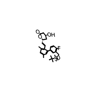 Cc1cc(C)c(C=C[C@H]2C[C@H](O)CC(=O)O2)c(-c2ccc(F)c(CO[Si](C)(C)C(C)(C)C)c2)c1